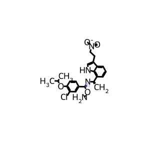 C=C(/N=C(\ON)c1ccc(OC(C)C)c(Cl)c1)c1cccc2c(CC[N+](=O)[O-])c[nH]c12